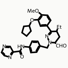 CCC1CC(C=O)N(Cc2ccc(NC(=O)c3cnccn3)cc2)N=C1c1ccc(OC)c(OC2CCCC2)c1